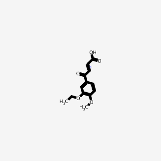 CCOc1cc(C(=O)/C=C/C(=O)O)ccc1OC